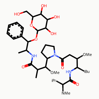 CCC(C)C(NC(=O)C(NC)C(C)C)C(CC(=O)N1CCCC1C(OC)C(C)C(=O)NC(C)C(OC1OC(CO)C(O)C(O)C1O)c1ccccc1)OC